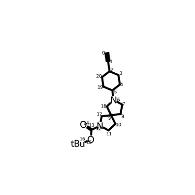 C#CC1CCC(N2CCC3(CCN(C(=O)OC(C)(C)C)C3)C2)CC1